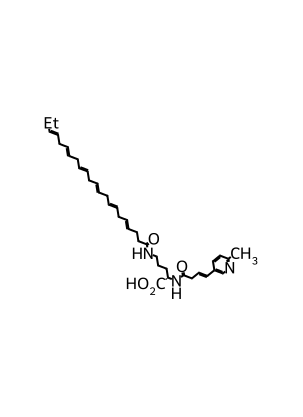 CCC=CCC=CCC=CCC=CCC=CCC=CCCC(=O)NCCC[C@H](NC(=O)CC=Cc1ccc(C)nc1)C(=O)O